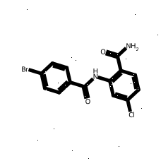 NC(=O)c1ccc(Cl)cc1NC(=O)c1ccc(Br)cc1